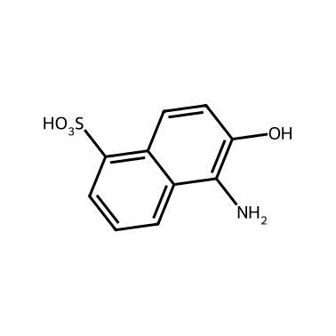 Nc1c(O)ccc2c(S(=O)(=O)O)cccc12